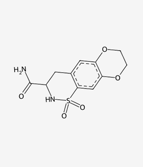 NC(=O)C1Cc2cc3c(cc2S(=O)(=O)N1)OCCO3